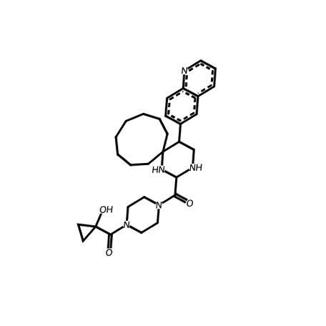 O=C(C1NCC(c2ccc3ncccc3c2)C2(CCCCCCCC2)N1)N1CCN(C(=O)C2(O)CC2)CC1